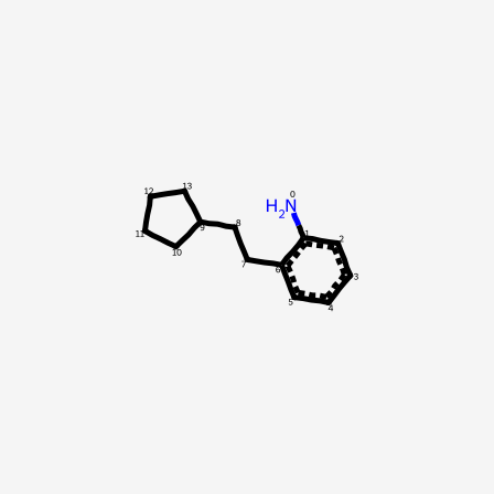 Nc1ccccc1CCC1CCCC1